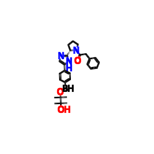 CC(C)(O)C(C)(C)OBc1ccc(-c2cnc([C@@H]3CCCN3C(=O)Cc3ccccc3)[nH]2)cc1